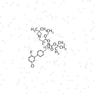 CCOC(=O)[C@@H](C[C@@H](Cc1ccc(-c2cc(Cl)ccc2F)cc1)NC(=O)OC(C)(C)C)CN1CC(C)(C)C1